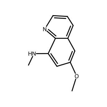 CNc1cc(OC)cc2cccnc12